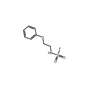 O=S(=O)(F)NCCOc1ccccc1